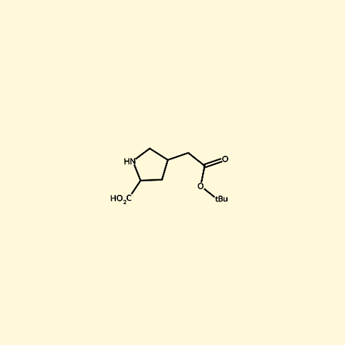 CC(C)(C)OC(=O)CC1CNC(C(=O)O)C1